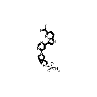 CS(=O)(=O)NCC12CC1CN(c1cc(-c3cnc4ccc(C(F)F)nn34)ncn1)C2